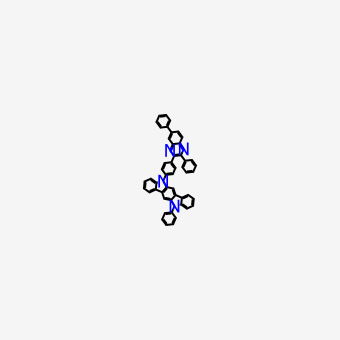 c1ccc(-c2ccc3nc(-c4ccccc4)c(-c4ccc(-n5c6ccccc6c6cc7c(cc65)c5ccccc5n7-c5ccccc5)cc4)nc3c2)cc1